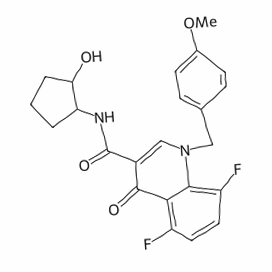 COc1ccc(Cn2cc(C(=O)NC3CCCC3O)c(=O)c3c(F)ccc(F)c32)cc1